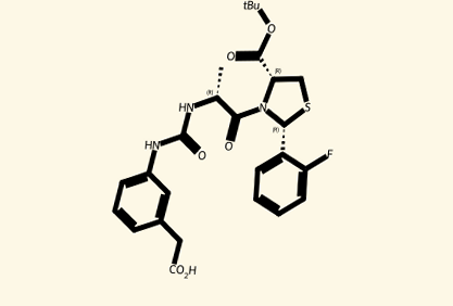 C[C@@H](NC(=O)Nc1cccc(CC(=O)O)c1)C(=O)N1[C@@H](c2ccccc2F)SC[C@H]1C(=O)OC(C)(C)C